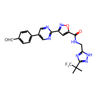 CC(C)(c1n[nH]c(CNC(=O)c2cc(-c3ncc(-c4ccc(C=O)cc4)cn3)no2)n1)C(F)(F)F